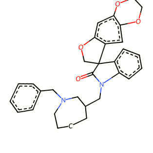 O=C1N(CC2CCCCN(Cc3ccccc3)C2)c2ccccc2C12COc1cc3c(cc12)OCCO3